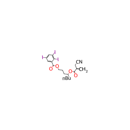 C=C(CC#N)C(=O)OC(CCCC)CCCOC(=O)c1cc(I)cc(I)c1I